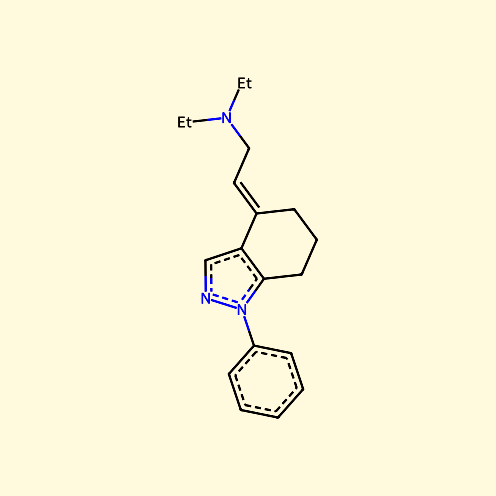 CCN(CC)CC=C1CCCc2c1cnn2-c1ccccc1